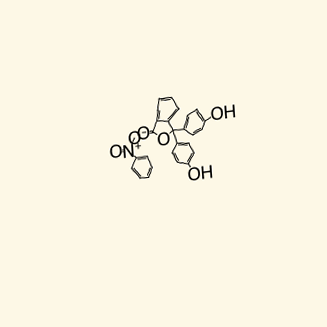 O=C1OC(c2ccc(O)cc2)(c2ccc(O)cc2)c2ccccc21.O=[N+]([O-])c1ccccc1